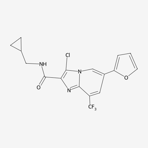 O=C(NCC1CC1)c1nc2c(C(F)(F)F)cc(-c3ccco3)cn2c1Cl